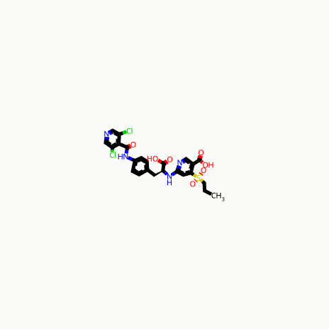 CCCS(=O)(=O)c1cc(N[C@@H](Cc2ccc(NC(=O)c3c(Cl)cncc3Cl)cc2)C(=O)O)ncc1C(=O)O